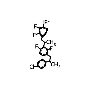 CC(C)c1ccc(CC(C)c2c(F)ccc(CC(C)c3ccc(Cl)cc3)c2F)c(F)c1F